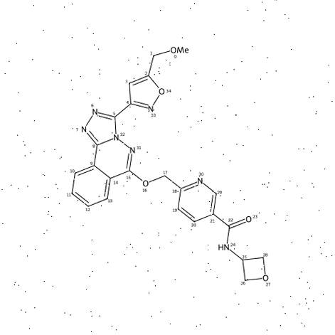 COCc1cc(-c2nnc3c4ccccc4c(OCc4ccc(C(=O)NC5COC5)cn4)nn23)no1